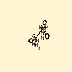 Nc1ccccc1NC(=O)CCCCC(NC(=O)c1ccccc1)C(=O)Nc1ccccc1